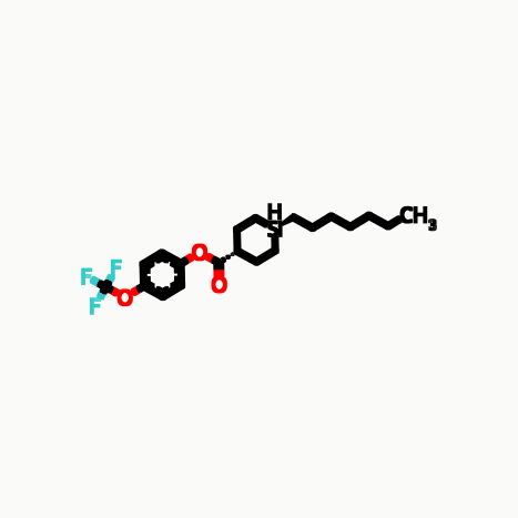 CCCCCCC[Si@H]1CC[C@H](C(=O)Oc2ccc(OC(F)(F)F)cc2)CC1